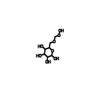 OOCOCC1OC(O)C(O)C(O)C1O